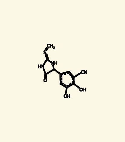 C=S=C1NC(=O)C(c2cc(O)c(O)c(C#N)c2)N1